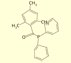 Cc1cc(C)c(C(=O)P(c2cc[c]cc2)c2ccccc2)c(C)c1